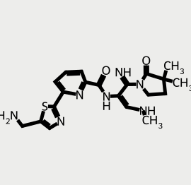 CN/C=C(/NC(=O)c1cccc(-c2ncc(CN)s2)n1)C(=N)N1CCC(C)(C)C1=O